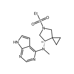 CCS(=O)(=O)N1C[C@@H](N(C)c2ncnc3[nH]ccc23)C2(CC2)C1